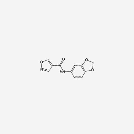 O=C(Nc1ccc2c(c1)OCO2)c1cnoc1